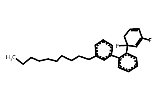 CCCCCCCCCCc1cccc(-c2ccccc2C2(F)C=C(F)C=CC2)c1